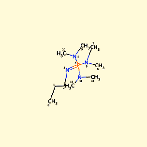 CCCN=P(N(C)C)(N(C)C)N(C)C